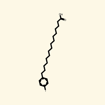 O=C(O)CCCCCCCCCCCCCCCc1ccc(I)cc1